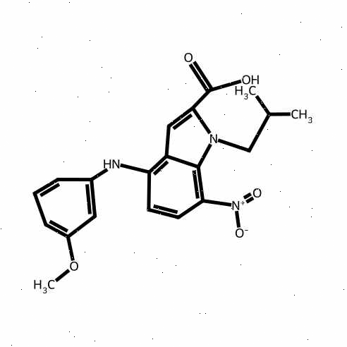 COc1cccc(Nc2ccc([N+](=O)[O-])c3c2cc(C(=O)O)n3CC(C)C)c1